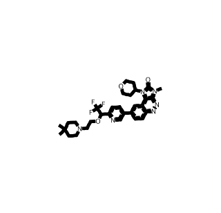 Cn1c(=O)n(C2CCOCC2)c2c3cc(-c4ccc(C(OCCN5CCC(C)(C)CC5)C(F)(F)F)nc4)ccc3nnc21